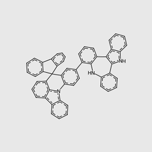 c1ccc2c(c1)Nc1c(-c3ccc4c(c3)C3(c5ccccc5-c5ccccc53)c3cccc5c6ccccc6n-4c35)cccc1-c1c-2[nH]c2ccccc12